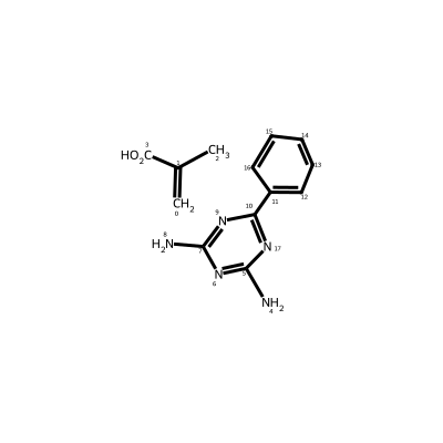 C=C(C)C(=O)O.Nc1nc(N)nc(-c2ccccc2)n1